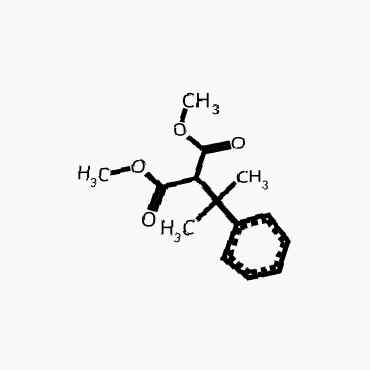 COC(=O)C(C(=O)OC)C(C)(C)c1ccccc1